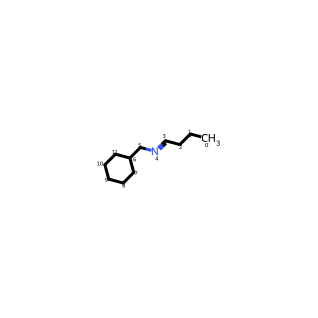 C[CH]CC=NCC1CCCCC1